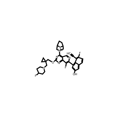 C#Cc1c(F)ccc2cc(O)cc(-c3ncc4c(N5CC6CCC(C5)N6C(C)=O)nc(OCC5(CN6CCC(F)CC6)CC5)nc4c3F)c12